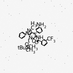 Cc1nn(-c2ccccc2)c2c1[C@H](c1cccc(N)c1)[C@@H](NC(=O)c1cccc(C(F)(F)F)c1)C(=O)N2CCO[Si](C)(C)C(C)(C)C